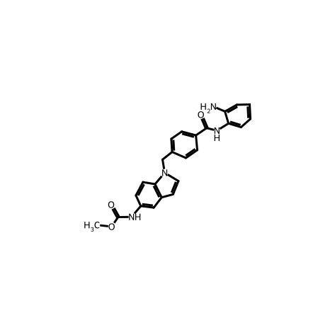 COC(=O)Nc1ccc2c(ccn2Cc2ccc(C(=O)Nc3ccccc3N)cc2)c1